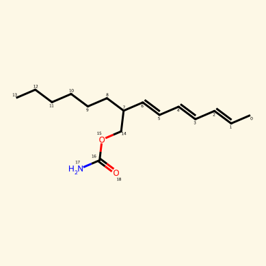 C/C=C/C=C/C=C/C(CCCCCC)COC(N)=O